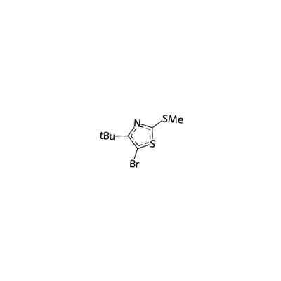 CSc1nc(C(C)(C)C)c(Br)s1